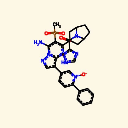 CS(=O)(=O)c1c(C2CC3CCC(C2)N3C(=O)c2nc[nH]n2)nc2c(-c3ccc(-c4ccccc4)[n+]([O-])c3)cnn2c1N